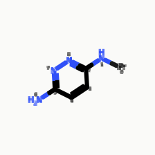 CC(C)Nc1ccc(N)nn1